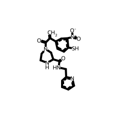 C=C(C(=O)N1CCNC(C(=O)NCc2ccccn2)C1)c1ccc(S)c([N+](=O)[O-])c1